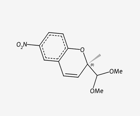 COC(OC)[C@@]1(C)C=Cc2cc([N+](=O)[O-])ccc2O1